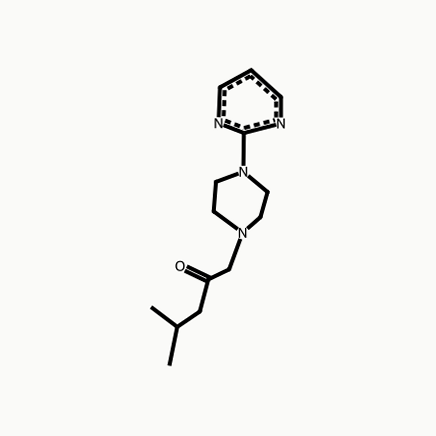 CC(C)CC(=O)CN1CCN(c2ncccn2)CC1